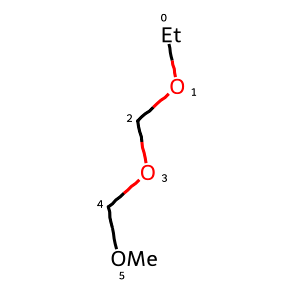 CCOCOCOC